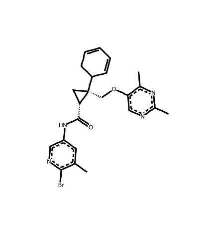 Cc1ncc(OC[C@@]2(C3C=CC=CC3)C[C@H]2C(=O)Nc2cnc(Br)c(C)c2)c(C)n1